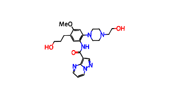 COc1cc(N2CCN(CCO)CC2)c(NC(=O)c2cnn3cccnc23)cc1CCCO